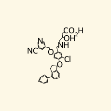 N#Cc1cncc(COc2cc(O[C@H]3CCc4c(-c5ccccc5)cccc43)c(Cl)cc2CNCC(O)CC(=O)O)c1